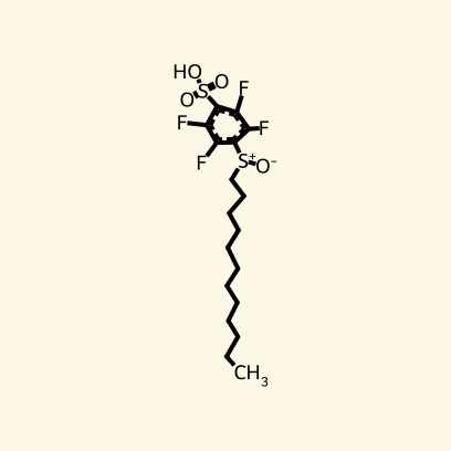 CCCCCCCCCCCC[S+]([O-])c1c(F)c(F)c(S(=O)(=O)O)c(F)c1F